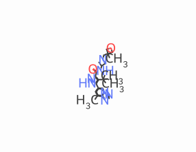 Cc1cc(-c2[nH]nc(C(=O)NC3CN(CC4(C)COC4)C3)c2C(C)C)cn2ncnc12